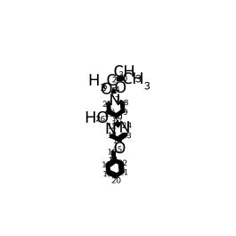 CC(C)(C)OC(=O)N1CC[C@H](c2ncc(OCc3ccccc3)cn2)[C@@H](O)C1